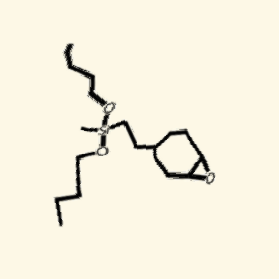 CCCCO[Si](C)(CCC1CCC2OC2C1)OCCCC